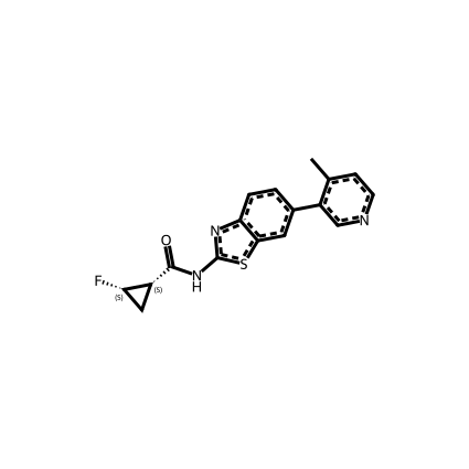 Cc1ccncc1-c1ccc2nc(NC(=O)[C@@H]3C[C@@H]3F)sc2c1